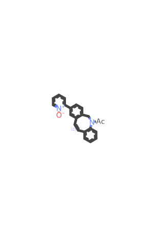 CC(=O)N1Cc2ccc(-c3cccc[n+]3[O-])cc2/C=C\c2ccccc21